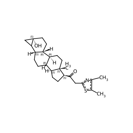 Cc1nc(CC(=O)[C@H]2CC[C@H]3[C@@H]4CC[C@@H]5C6C[C@@]6(O)CC[C@@H]5[C@H]4CC[C@]23C)sc1C